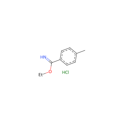 CCOC(=N)c1ccc(C)cc1.Cl